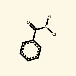 CCN(Cl)C(=O)c1ccccc1